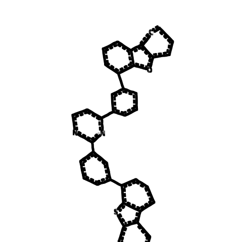 c1cc(-c2ccnc(-c3cccc(-c4cccc5c4sc4ccccc45)c3)n2)cc(-c2cccc3c2oc2ccccc23)c1